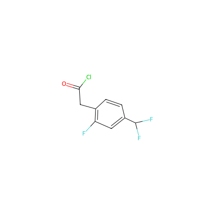 O=C(Cl)Cc1ccc(C(F)F)cc1F